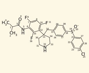 CC(C)C(=O)Nc1c(F)cc(F)c(C2(Cc3ccc([S+]([O-])c4ccc(Cl)cc4)cc3)CCNCC2)c1F